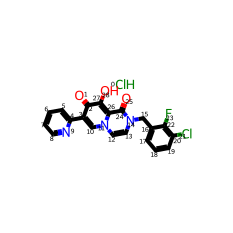 Cl.O=c1c(-c2ccccn2)cn2ccn(Cc3cccc(Cl)c3F)c(=O)c2c1O